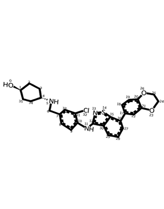 O[C@H]1CC[C@H](NCc2ccc(Nc3nsc4c(-c5ccc6c(c5)OCCO6)cccc34)c(Cl)c2)CC1